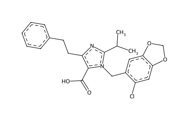 CC(C)c1nc(CCc2ccccc2)c(C(=O)O)n1Cc1cc2c(cc1Cl)OCO2